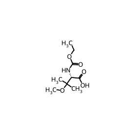 CCOC(=O)N[C@H](C(=O)O)C(C)(C)OC